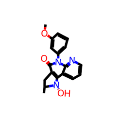 COc1cccc(-n2c(=O)c3c(c4cccnc42)N(O)C(C)C3)c1